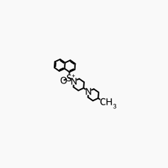 CC1CCN(C2CCN([S+]([O-])c3cccc4ccccc34)CC2)CC1